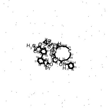 CC(C)n1c(O[C@@H]2C[C@H]3C(=O)N[C@]4(C(=O)NS(=O)(=O)C5(C)CC5)C[C@H]4/C=C\CCCCC[C@H](Nc4ccccc4)C(=O)N3C2)nc2c(-c3cccc(C(=O)N(C)C)c3)cccc21